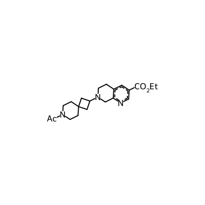 CCOC(=O)c1cnc2c(c1)CCN(C1CC3(CCN(C(C)=O)CC3)C1)C2